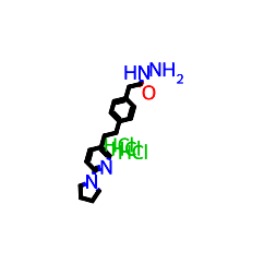 Cl.Cl.Cl.NNC(=O)Cc1ccc(CCc2ccc(N3CCCC3)nc2)cc1